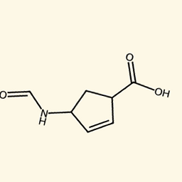 O=CNC1C=CC(C(=O)O)C1